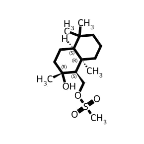 CC1(C)CCC[C@@]2(C)[C@@H](COS(C)(=O)=O)[C@](C)(O)CC[C@@H]12